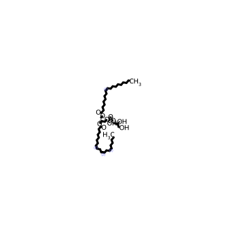 CCCCC/C=C\C/C=C\C/C=C\CCCCCCC(=O)O[C@H](COC(=O)CCCCCCC/C=C\CCCCCCCCC)COP(=O)(O)OC[C@@H](O)CO